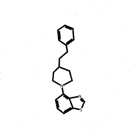 [c]1nc2c(N3CCC(CCc4ccccc4)CC3)cccc2s1